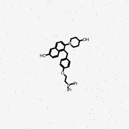 CC(C)N(CCOc1ccc(Cc2c(N3CCC(O)CC3)ccc3cc(O)ccc23)cc1)C(C)C